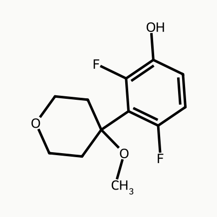 COC1(c2c(F)ccc(O)c2F)CCOCC1